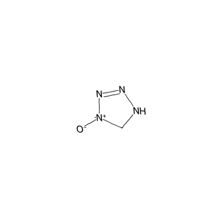 [O-][N+]1CNN=N1